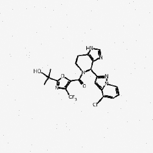 CC(C)(O)c1nc(C(F)(F)F)c(C(=O)N2CCc3[nH]cnc3C2c2cc3c(Cl)cccn3n2)o1